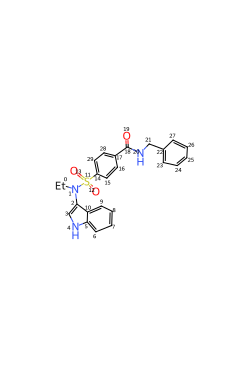 CCN(c1c[nH]c2ccccc12)S(=O)(=O)c1ccc(C(=O)NCc2ccccc2)cc1